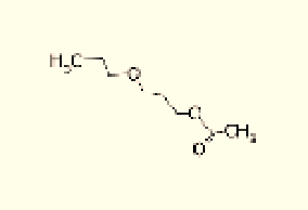 CCCOCCCOC(C)=O